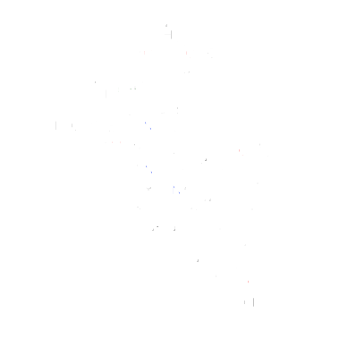 COc1cccc(-c2ccc(OC)c(CC3C(C[N+](C=O)(CCC(C)C)c4ccc(OC)c(OC)c4Cl)N=C4C=CC=CN43)c2)c1